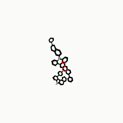 c1ccc(-c2cccc(N(c3ccc(-c4cccc5sc6ccc7ccccc7c6c45)cc3)c3cccc(-c4ccccc4N(c4cccc(-c5ccccc5)c4)c4ccc5cc(-c6ccccc6)ccc5c4)c3)c2)cc1